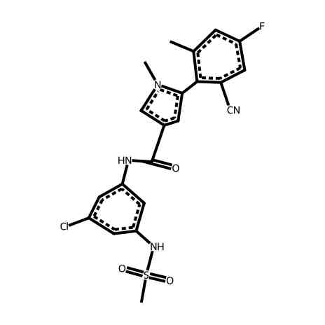 Cc1cc(F)cc(C#N)c1-c1cc(C(=O)Nc2cc(Cl)cc(NS(C)(=O)=O)c2)cn1C